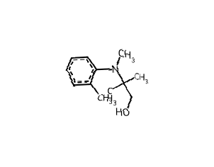 Cc1ccccc1N(C)C(C)(C)CO